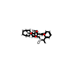 CC(c1ccccc1)[S+]([O-])CCC(=O)N1CC2CCC(C1)N2c1ccc(C#N)cn1